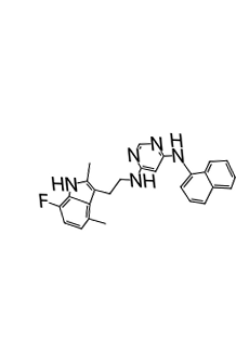 Cc1[nH]c2c(F)ccc(C)c2c1CCNc1cc(Nc2cccc3ccccc23)ncn1